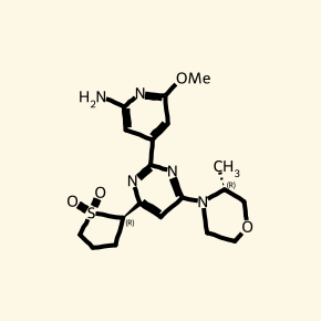 COc1cc(-c2nc([C@H]3CCCS3(=O)=O)cc(N3CCOC[C@H]3C)n2)cc(N)n1